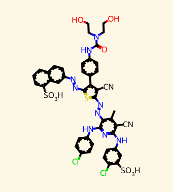 Cc1c(C#N)c(Nc2ccc(Cl)c(S(=O)(=O)O)c2)nc(Nc2ccc(Cl)cc2)c1N=Nc1sc(N=Nc2ccc3cccc(S(=O)(=O)O)c3c2)c(-c2ccc(NC(=O)N(CCO)CCO)cc2)c1C#N